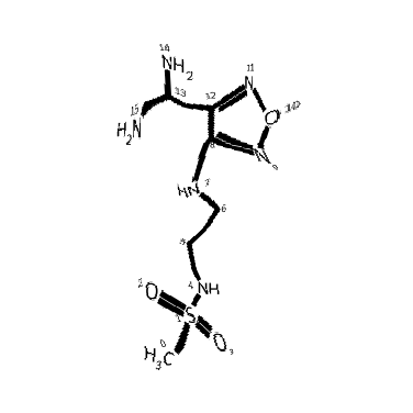 CS(=O)(=O)NCCNc1nonc1C(N)N